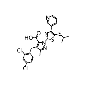 Cc1nn(-c2nc(-c3cccnc3)c(SC(C)C)s2)c(C(=O)O)c1Cc1ccc(Cl)cc1Cl